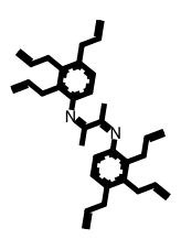 C=CCc1ccc(/N=C(C)\C(C)=N/c2ccc(CC=C)c(CC=C)c2CC=C)c(CC=C)c1CC=C